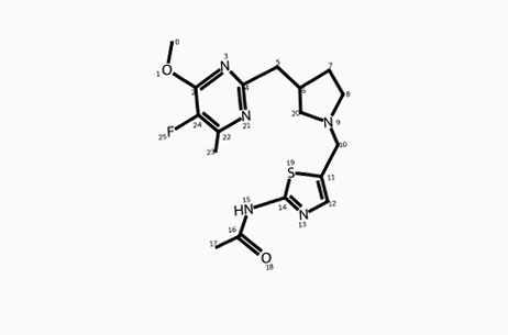 COc1nc(CC2CCN(Cc3cnc(NC(C)=O)s3)C2)nc(C)c1F